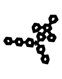 c1ccc(-c2ccc(-c3ccc(N(c4ccc(-c5ccccc5)cc4)c4ccc(-c5c(-c6ccccc6)cc(-c6ccccc6)cc5-c5ccccc5)cc4)cc3)cc2)cc1